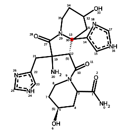 NC(=O)C1C[C@@H](O)CCN1C(=O)[C@@H](Cc1c[nH]cn1)C(N)(Cc1c[nH]cn1)C(=O)N1CCC(O)CC1